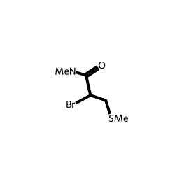 CNC(=O)C(Br)CSC